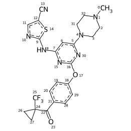 CN1CCN(c2cc(Nc3ncc(C#N)s3)nc(Oc3ccc(C(=O)C4(C(F)(F)F)CC4)cc3)n2)CC1